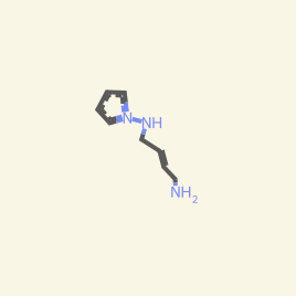 NCC=CCNn1cccc1